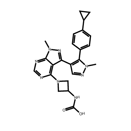 Cn1ncc(-c2nn(C)c3ncnc(N4CC(NC(=O)O)C4)c23)c1-c1ccc(C2CC2)cc1